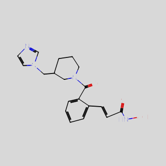 O=C(C=Cc1ccccc1C(=O)N1CCCC(Cn2ccnc2)C1)NO